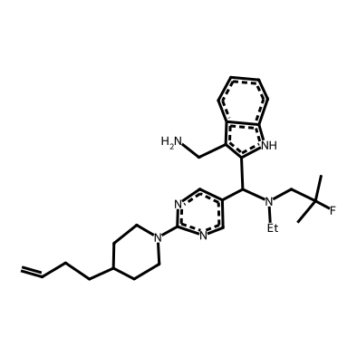 C=CCCC1CCN(c2ncc(C(c3[nH]c4ccccc4c3CN)N(CC)CC(C)(C)F)cn2)CC1